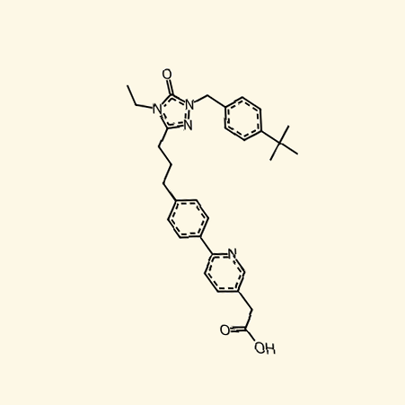 CCn1c(CCCc2ccc(-c3ccc(CC(=O)O)cn3)cc2)nn(Cc2ccc(C(C)(C)C)cc2)c1=O